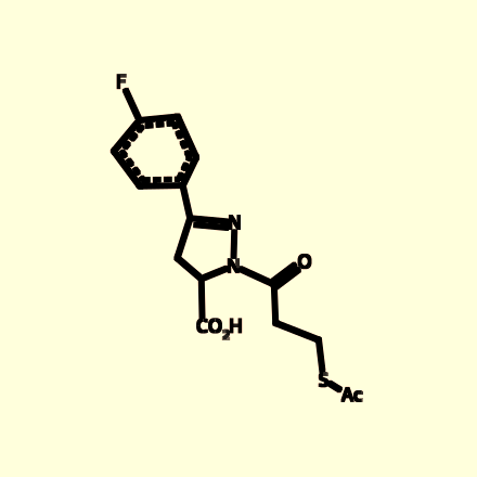 CC(=O)SCCC(=O)N1N=C(c2ccc(F)cc2)CC1C(=O)O